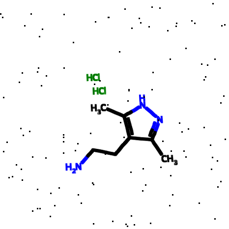 Cc1n[nH]c(C)c1CCN.Cl.Cl